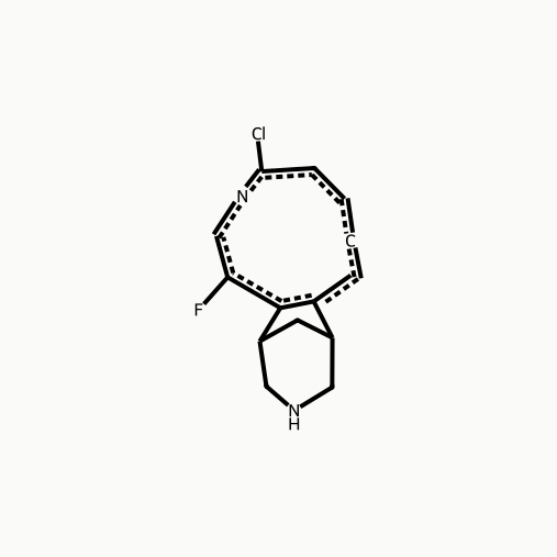 Fc1cnc(Cl)ccccc2c1C1CNCC2C1